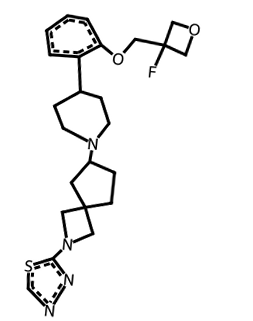 FC1(COc2ccccc2C2CCN(C3CCC4(C3)CN(c3nncs3)C4)CC2)COC1